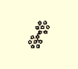 O=c1c2cc3c(cc2sc2cc4c(cc12)B1c2ccccc2N2c5ccccc5B5c6ccccc6N(c6ccccc6)c6cc(c1c2c65)N4c1ccccc1)N(c1ccccc1)c1cc(N(c2ccccc2)c2ccccc2)cc2c1B3c1ccccc1N2c1ccccc1